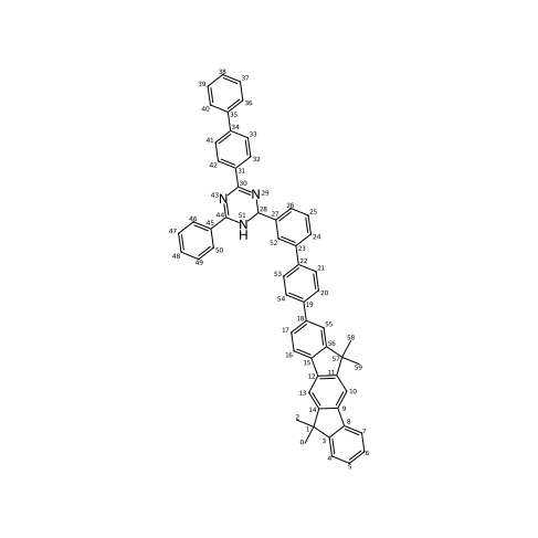 CC1(C)c2ccccc2-c2cc3c(cc21)-c1ccc(-c2ccc(-c4cccc(C5N=C(c6ccc(-c7ccccc7)cc6)N=C(c6ccccc6)N5)c4)cc2)cc1C3(C)C